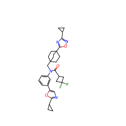 O=C(C1CC(F)(F)C1)N(CC12CCC(c3nc(C4CC4)no3)(CC1)CC2)c1cccc(-c2cnc(C3CC3)o2)c1